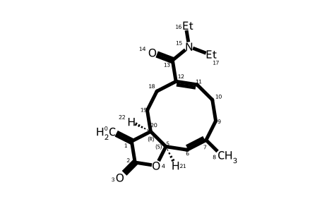 C=C1C(=O)O[C@@H]2C=C(C)CCC=C(C(=O)N(CC)CC)CC[C@H]12